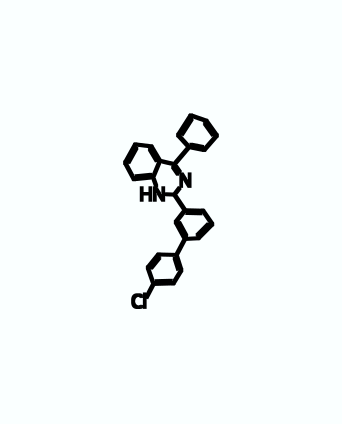 Clc1ccc(-c2cccc(C3N=C(c4ccccc4)c4ccccc4N3)c2)cc1